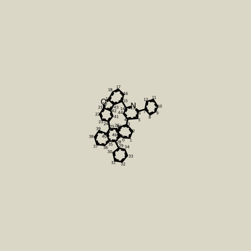 c1ccc(-c2cc(-c3ccccc3)nc(-c3cccc4oc5ccc(-c6ccc(-c7ccccc7)c7ccccc67)cc5c34)c2)cc1